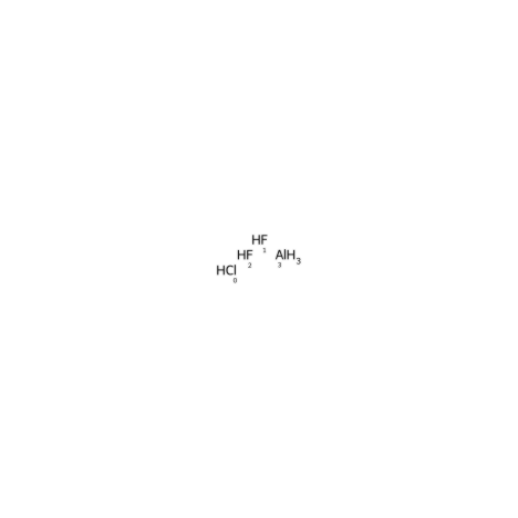 Cl.F.F.[AlH3]